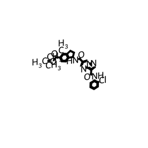 Cc1c(C(=O)OC(C)(C)C)ccc2c1CC[C@@H]2NC(=O)c1cnc2c(C(=O)Nc3ccccc3Cl)cnn2c1